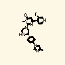 Cc1cn(-c2ccc([C@H]3CN(c4nc(-c5ccncc5F)cc(=O)n4C)CCN3)cc2)cn1